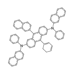 C1=CCCC(c2c3cc(N(c4ccccc4)c4ccc5ccccc5c4)ccc3c(-c3ccc4ccccc4c3)c3cc(N(c4ccccc4)c4ccc5ccccc5c4)ccc23)=C1